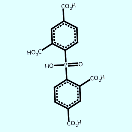 O=C(O)c1ccc(P(=O)(O)c2ccc(C(=O)O)cc2C(=O)O)c(C(=O)O)c1